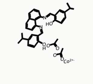 CC(=O)[O-].CC(=O)[O-].CC(C)c1ccc(O)c(C=Nc2cccc3cccc(N=Cc4cc(C(C)C)ccc4O)c23)c1.[Co+2]